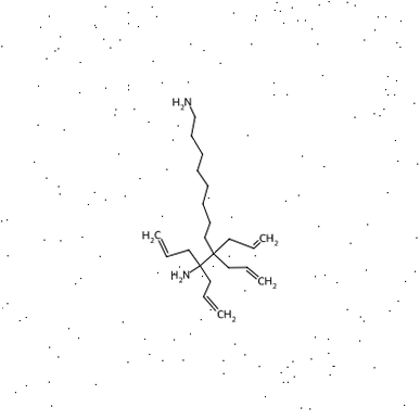 C=CCC(N)(CC=C)C(CC=C)(CC=C)CCCCCCCCN